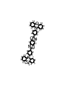 C[Si]1(C)c2ccccc2N(c2ccc(-c3nc4cc5oc(-c6ccc(N7c8ccccc8Oc8ccccc87)cc6)nc5cc4o3)cc2)c2ccccc21